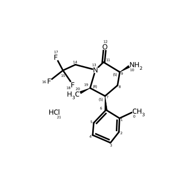 Cc1ccccc1[C@@H]1C[C@H](N)C(=O)N(CC(F)(F)F)[C@@H]1C.Cl